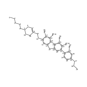 CCCCCC1CC=C(CCc2cc3c(c(F)c2F)-c2c(cc(-c4ccc(CCC)cc4F)c(F)c2F)C3)CC1